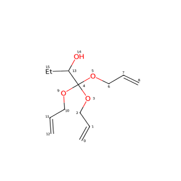 C=CCOC(OCC=C)(OCC=C)C(O)CC